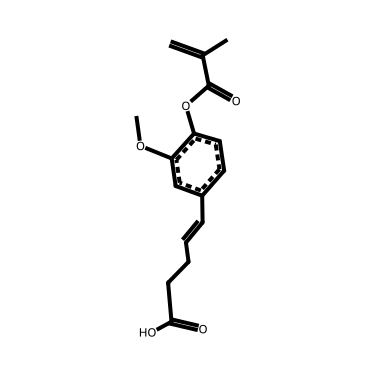 C=C(C)C(=O)Oc1ccc(C=CCCC(=O)O)cc1OC